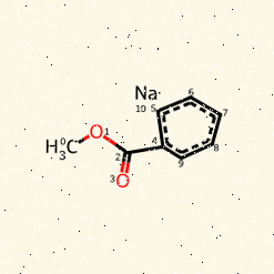 COC(=O)c1ccccc1.[Na]